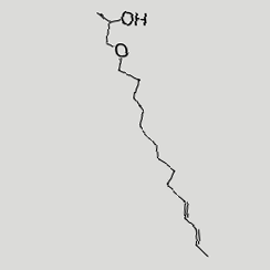 CC=CC=CCCCCCCCCCOCC(C)O